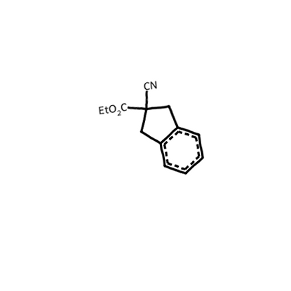 CCOC(=O)C1(C#N)Cc2ccccc2C1